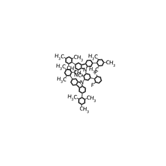 Cc1cc(C)c(-c2ccc3c(c2)c2ccc(-c4c(C)cc(C)cc4C)cc2n3-c2cc(-c3c(F)cccc3F)cc(-n3c4ccc(-c5c(C)cc(C)cc5C)cc4c4ccc(-c5c(C)cc(C)cc5C)cc43)c2C#N)c(C)c1